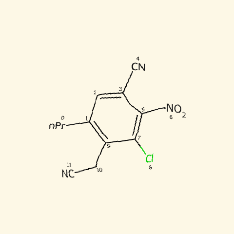 CCCc1cc(C#N)c([N+](=O)[O-])c(Cl)c1CC#N